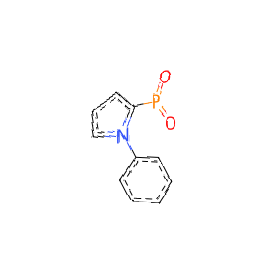 O=P(=O)c1cccn1-c1ccccc1